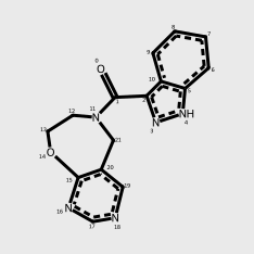 O=C(c1n[nH]c2ccccc12)N1CCOc2ncncc2C1